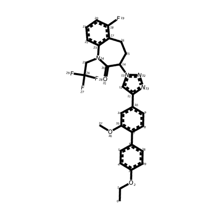 CCOc1ccc(-c2ccc(-c3cn(C4CCc5c(F)cccc5N(CC(F)(F)F)C4=O)nn3)cc2OC)cc1